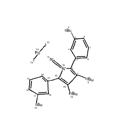 CCCCC1=C(c2cccc(CCCC)c2)[N+](=[N-])C(c2cccc(CCCC)c2)=C1CCCC.[I][Pd][I]